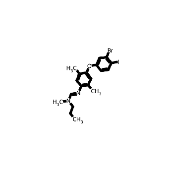 CCCN(C)C=Nc1cc(C)c(Oc2ccc(I)c(Br)c2)cc1C